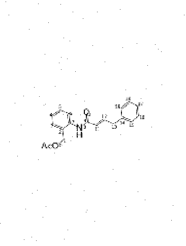 CC(=O)OCc1ccccc1NC(=O)C=CCc1ccccc1